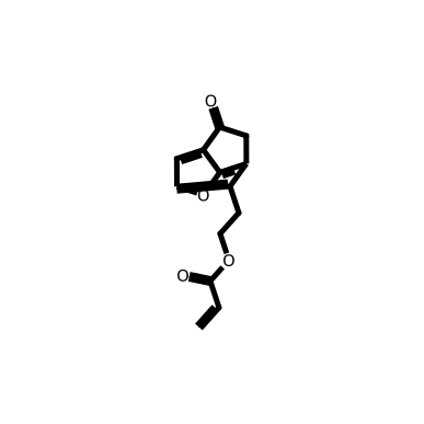 C=CC(=O)OCCc1c2c3oc1cc3C(=O)C2